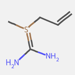 C=CCS(C)=C(N)N